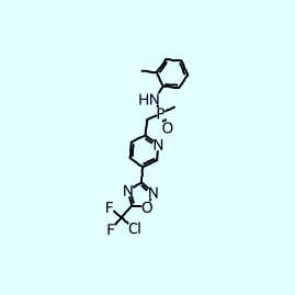 Cc1ccccc1NP(C)(=O)Cc1ccc(-c2noc(C(F)(F)Cl)n2)cn1